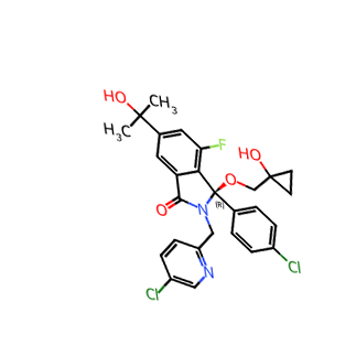 CC(C)(O)c1cc(F)c2c(c1)C(=O)N(Cc1ccc(Cl)cn1)[C@@]2(OCC1(O)CC1)c1ccc(Cl)cc1